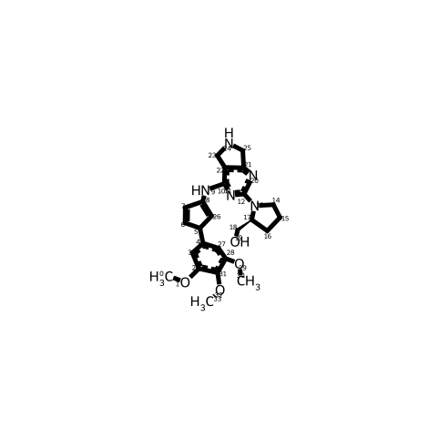 COc1cc(C2C=CC(Nc3nc(N4CCC[C@H]4CO)nc4c3CNC4)=C2)cc(OC)c1OC